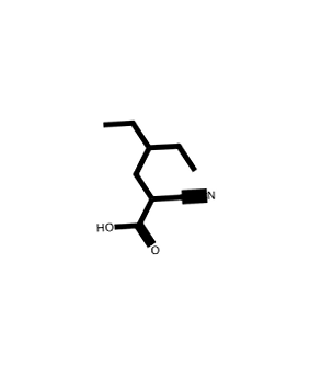 CCC(CC)CC(C#N)C(=O)O